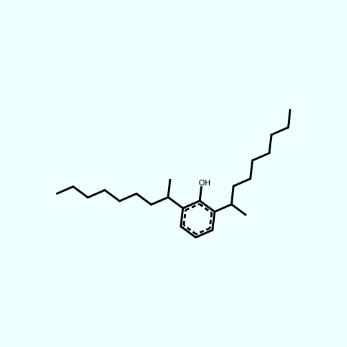 CCCCCCCC(C)c1cccc(C(C)CCCCCCC)c1O